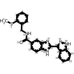 CSc1ccccc1CNC(=O)c1ccc2[nH]c(-c3n[nH]c4ccccc34)nc2c1